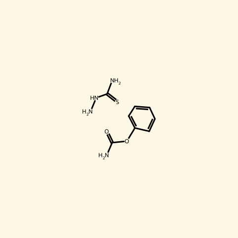 NC(=O)Oc1ccccc1.NNC(N)=S